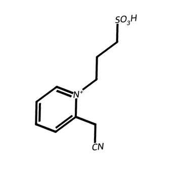 N#CCc1cccc[n+]1CCCS(=O)(=O)O